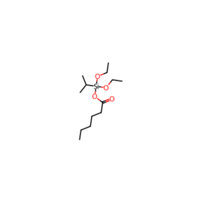 CCCCCC(=O)O[Si](OCC)(OCC)C(C)C